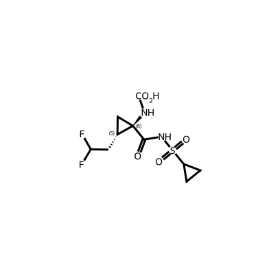 O=C(O)N[C@]1(C(=O)NS(=O)(=O)C2CC2)C[C@H]1CC(F)F